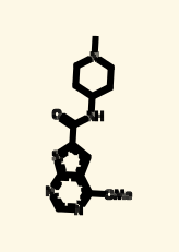 COc1ncnc2sc(C(=O)NC3CCN(C)CC3)cc12